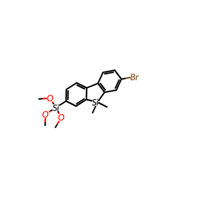 CO[Si](OC)(OC)c1ccc2c(c1)[Si](C)(C)c1cc(Br)ccc1-2